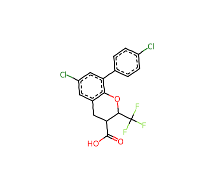 O=C(O)C1Cc2cc(Cl)cc(-c3ccc(Cl)cc3)c2OC1C(F)(F)F